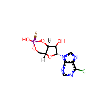 O[C@@H]1[C@@H]2OP(O)(=S)OC[C@H]2O[C@H]1n1cnc2c(Cl)ncnc21